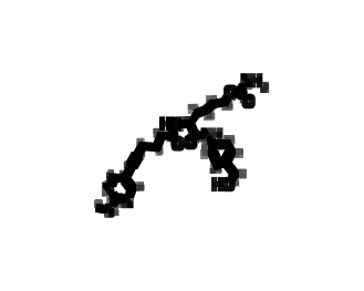 CSc1ncc(C#CCCCC(=O)N[C@@H](CCCCOC(N)=O)C(=O)Nc2ccc(CO)cc2)cn1